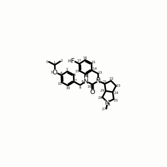 CC(C)Oc1ccc(CNC(=O)N(Cc2ccc(F)cc2)C2CCC3CN(C)CC32)cc1